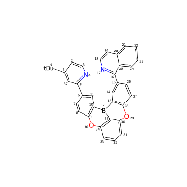 CC(C)(C)c1ccnc(-c2ccc3c(c2)B2c4cc(-c5nccc6ccccc56)ccc4Oc4cccc(c42)O3)c1